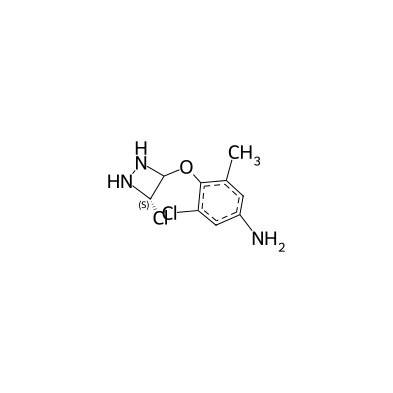 Cc1cc(N)cc(Cl)c1OC1NN[C@H]1Cl